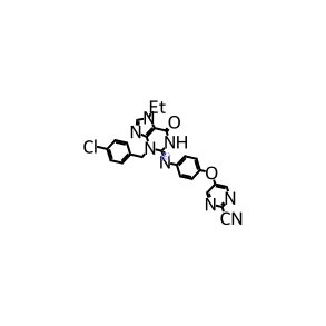 CCn1cnc2c1c(=O)[nH]/c(=N\c1ccc(Oc3cnc(C#N)nc3)cc1)n2Cc1ccc(Cl)cc1